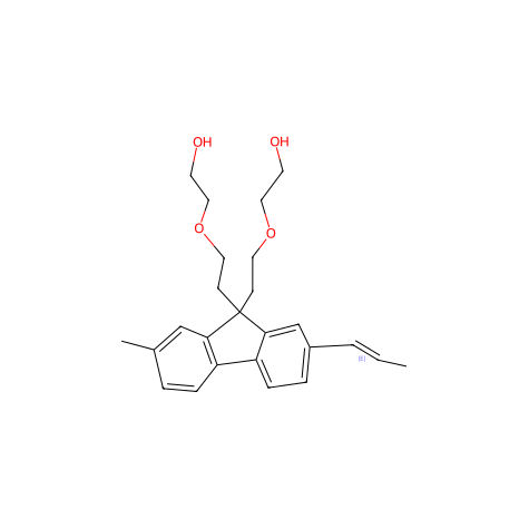 C/C=C/c1ccc2c(c1)C(CCOCCO)(CCOCCO)c1cc(C)ccc1-2